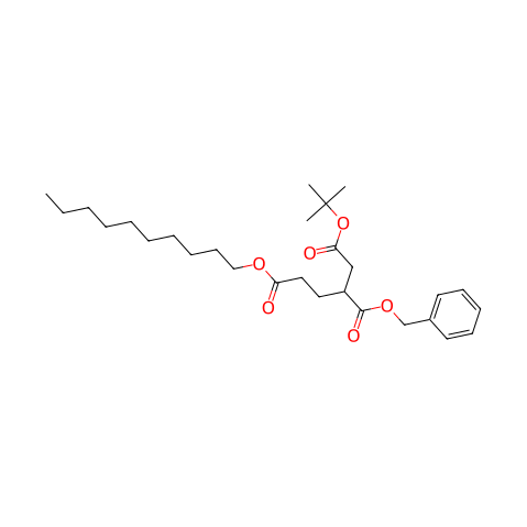 CCCCCCCCCCOC(=O)CCC(CC(=O)OC(C)(C)C)C(=O)OCc1ccccc1